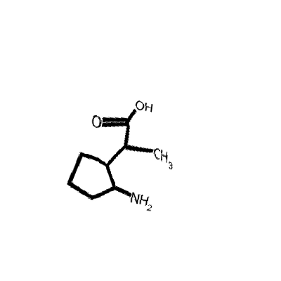 CC(C(=O)O)C1CCCC1N